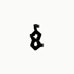 CC(C)(C)c1cn2[nH]ccc2n1